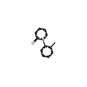 Cc1c[c]ccc1-n1ccccc1=O